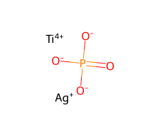 O=P([O-])([O-])[O-].[Ag+].[Ti+4]